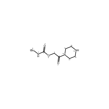 CC(C)(C)NC(=O)OCC(=O)N1CCNCC1